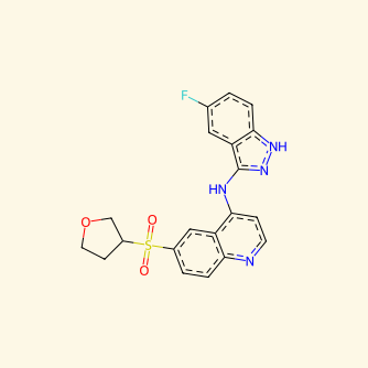 O=S(=O)(c1ccc2nccc(Nc3n[nH]c4ccc(F)cc34)c2c1)C1CCOC1